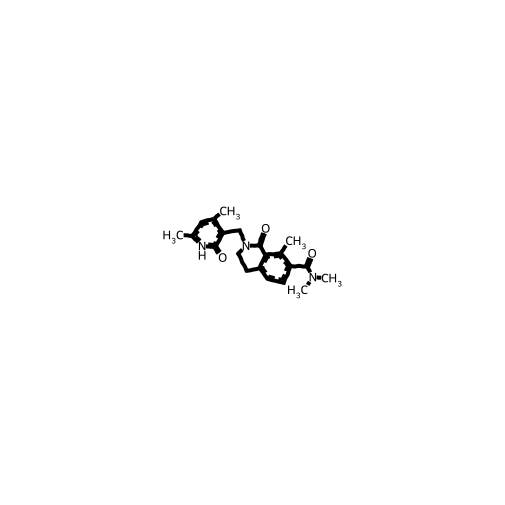 Cc1cc(C)c(CN2CCc3ccc(C(=O)N(C)C)c(C)c3C2=O)c(=O)[nH]1